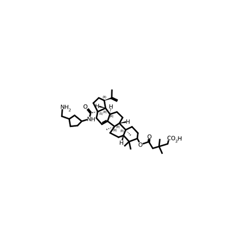 C=C(C)[C@@H]1CC[C@]2(C(=O)NC3CCC(CN)C3)CC=C3[C@H](CC[C@@H]4[C@@]5(C)CCC(OC(=O)CC(C)(C)CC(=O)O)C(C)(C)[C@@H]5CC[C@@]34C)[C@@H]12